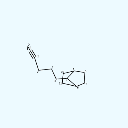 N#CCCCC1C2CCC1CC2